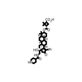 CC(C)C1=C2[C@H]3CC[C@@H]4[C@@]5(C)CC[C@H](OC(=O)[C@H]6C[C@@H](C(=O)O)C6(C)C)C(C)(C)[C@@H]5CC[C@@]4(C)[C@]3(C)CC[C@@]2([C@@H](O)CNC(=O)C2CCNCC2)CC1=O